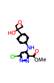 COC(=O)c1nnc(Cl)cc1Nc1ccc(C2(O)COC2)cc1